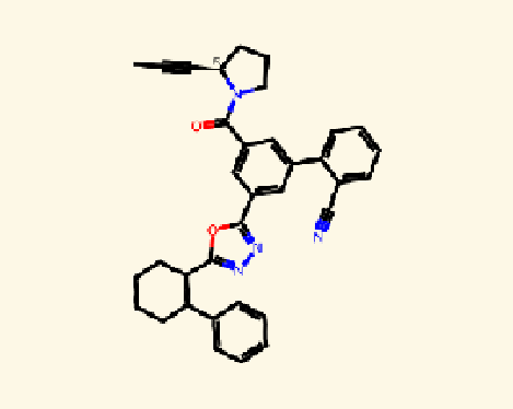 CC#C[C@H]1CCCN1C(=O)c1cc(-c2nnc(C3CCCCC3c3ccccc3)o2)cc(-c2ccccc2C#N)c1